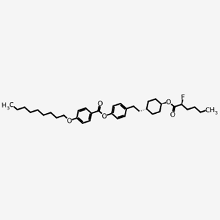 CCCCCCCCCOc1ccc(C(=O)Oc2ccc(CC[C@H]3CC[C@H](OC(=O)[C@@H](F)CCCC)CC3)cc2)cc1